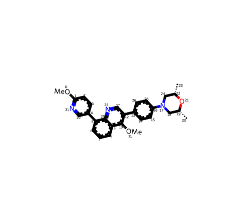 COc1ccc(-c2cccc3c(OC)c(-c4ccc(N5C[C@@H](C)O[C@@H](C)C5)cc4)cnc23)cn1